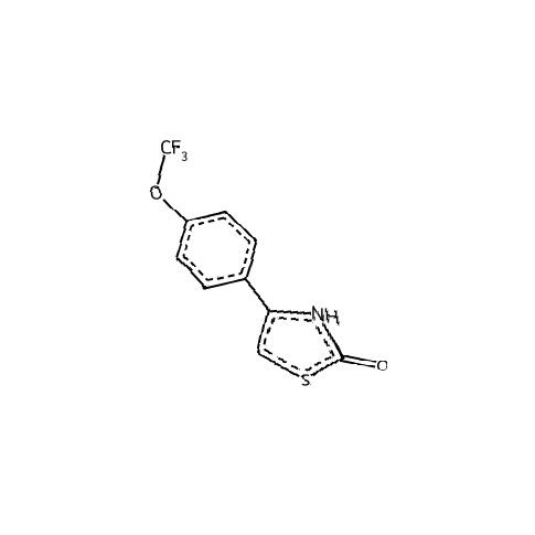 O=c1[nH]c(-c2ccc(OC(F)(F)F)cc2)cs1